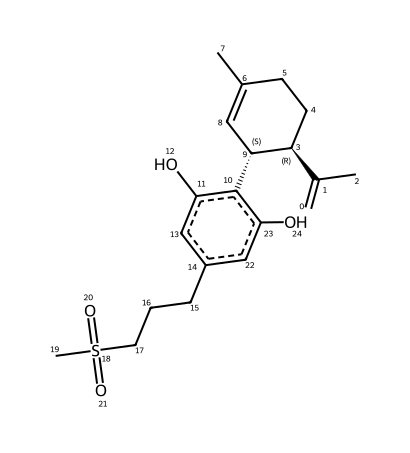 C=C(C)[C@@H]1CCC(C)=C[C@H]1c1c(O)cc(CCCS(C)(=O)=O)cc1O